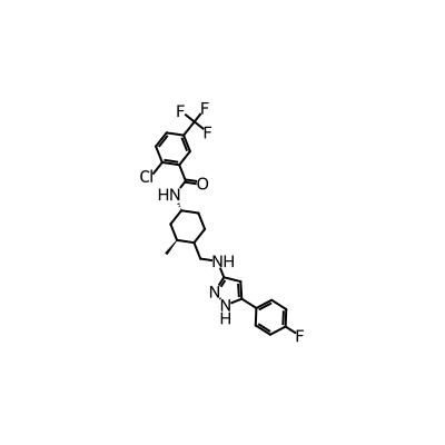 C[C@H]1C[C@H](NC(=O)c2cc(C(F)(F)F)ccc2Cl)CCC1CNc1cc(-c2ccc(F)cc2)[nH]n1